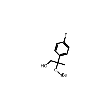 CCCCOC(C)(CO)c1ccc(F)cc1